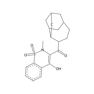 CN1C(C(=O)C2CCC3CC4CC(C3)C2C4)=C(O)c2ccccc2S1(=O)=O